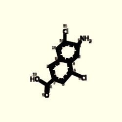 Nc1cc2c(Cl)cc(C(=O)O)cc2cc1Cl